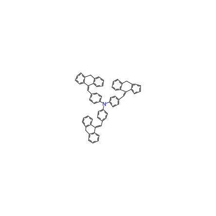 C(=C1c2ccccc2Cc2ccccc21)c1ccc(N(c2ccc(C=C3c4ccccc4Cc4ccccc43)cc2)c2ccc(C=C3c4ccccc4Cc4ccccc43)cc2)cc1